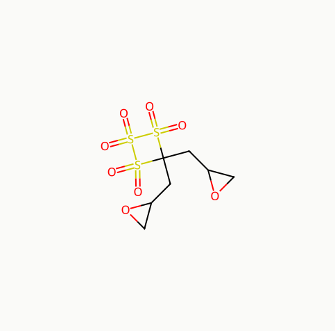 O=S1(=O)C(CC2CO2)(CC2CO2)S(=O)(=O)S1(=O)=O